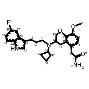 COc1ccc(CC(N)=O)c2c1OCC(N(CCCc1c[nH]c3ccc(F)cc13)C1CCC1)C2